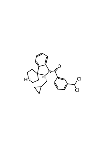 O=C(c1cccc(C(Cl)Cl)c1)N1c2ccccc2C2(CCNCC2)[C@H]1CC1CC1